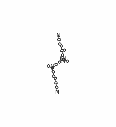 N#Cc1ccc(-c2ccc(-c3ccc4cc(-c5ccc(-c6cc(-c7ccc(-c8ccc(-c9nc(-c%10ccccc%10)nc(-c%10ccc(-c%11ccc(-c%12ccc%13cc(-c%14ccc(C#N)cc%14)ccc%13c%12)c%12ccccc%11%12)cc%10)n9)cc8)cc7)nc(-c7ccccc7)n6)cc5)ccc4c3)cc2)cc1